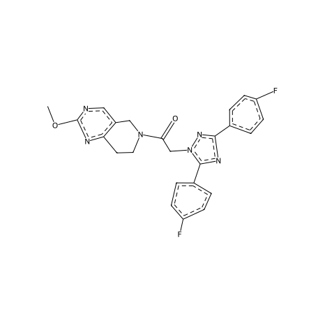 COc1ncc2c(n1)CCN(C(=O)Cn1nc(-c3ccc(F)cc3)nc1-c1ccc(F)cc1)C2